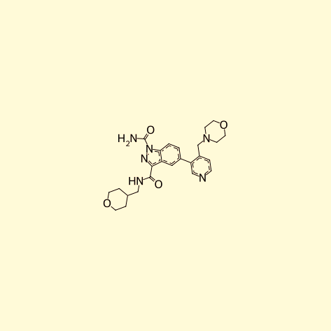 NC(=O)n1nc(C(=O)NCC2CCOCC2)c2cc(-c3cnccc3CN3CCOCC3)ccc21